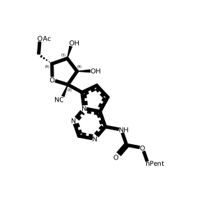 CCCCCOC(=O)Nc1ncnn2c([C@]3(C#N)O[C@H](COC(C)=O)[C@@H](O)[C@H]3O)ccc12